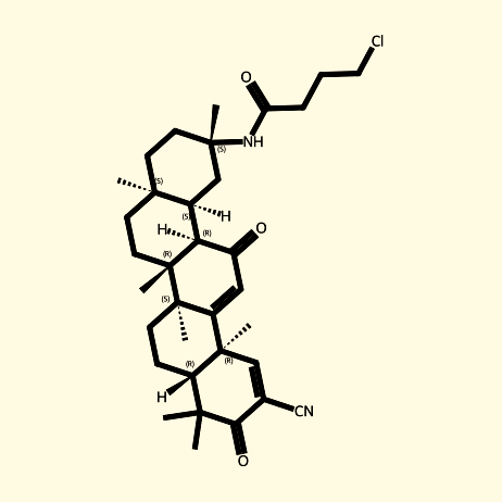 CC1(C)C(=O)C(C#N)=C[C@]2(C)C3=CC(=O)[C@@H]4[C@@H]5C[C@@](C)(NC(=O)CCCCl)CC[C@]5(C)CC[C@@]4(C)[C@]3(C)CC[C@@H]12